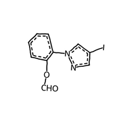 O=COc1ccccc1-n1cc(I)cn1